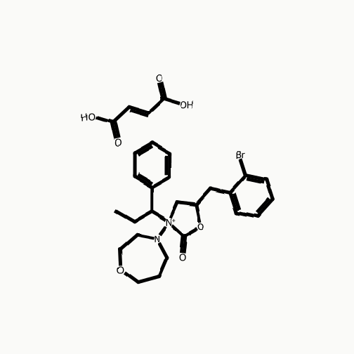 CCC(c1ccccc1)[N+]1(N2CCCOCC2)CC(Cc2ccccc2Br)OC1=O.O=C(O)/C=C/C(=O)O